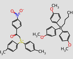 CCCC[B-](c1ccc(OC)cc1)(c1ccc(OC)cc1)c1ccc(OC)cc1.Cc1ccc([S+](CC(=O)c2ccc([N+](=O)[O-])cc2)c2ccc(C)cc2)cc1